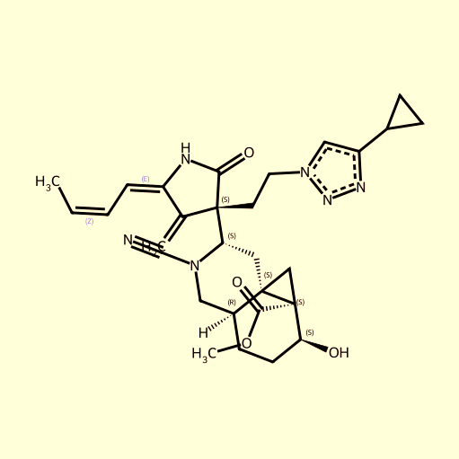 C=C1/C(=C\C=C/C)NC(=O)[C@]1(CCn1cc(C2CC2)nn1)[C@@H]1C[C@]23C[C@@]2(C(=O)OC)[C@@H](O)CC[C@H]3CN1C#N